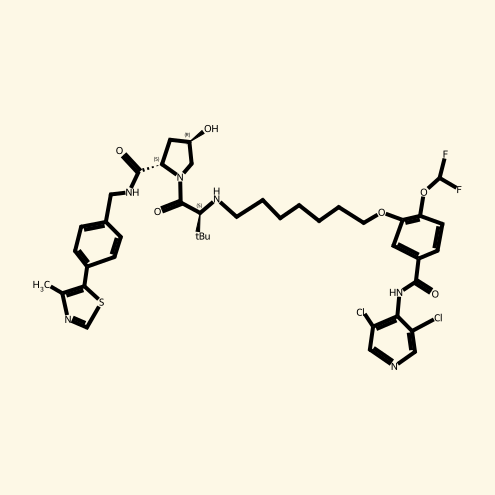 Cc1ncsc1-c1ccc(CNC(=O)[C@@H]2C[C@@H](O)CN2C(=O)[C@@H](NCCCCCCCOc2cc(C(=O)Nc3c(Cl)cncc3Cl)ccc2OC(F)F)C(C)(C)C)cc1